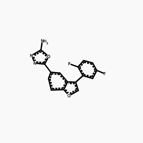 Nc1nnc(-c2ccc3occ(-c4cc(F)ccc4F)c3c2)o1